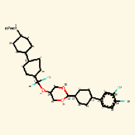 CCCCCC1CCC(C2CCC(C(F)(F)OC3COC(C4CCC(c5ccc(F)c(F)c5)CC4)OC3)CC2)CC1